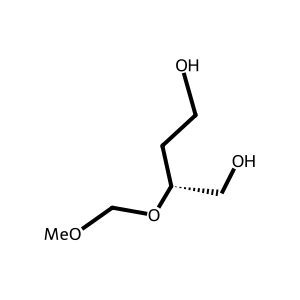 COCO[C@@H](CO)CCO